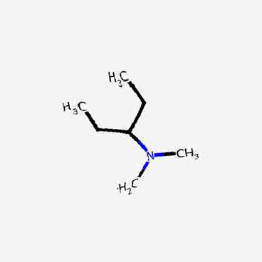 [CH2]N(C)C(CC)CC